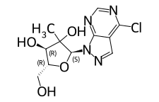 CC1(O)[C@H](O)[C@@H](CO)O[C@@H]1n1ncc2c(Cl)ncnc21